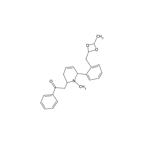 CC1OC(Cc2ccccc2C2C=CCC(CC(=O)c3ccccc3)N2C)O1